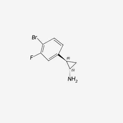 N[C@H]1C[C@@H]1c1ccc(Br)c(F)c1